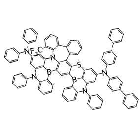 FC(F)(F)c1cccc2c1N1c3cc(N(c4ccccc4)c4ccccc4)cc4c3B(c3ccccc3N4c3ccccc3)c3cc4c(c(c31)-c1ccccc1-2)Sc1cc(N(c2ccc(-c3ccccc3)cc2)c2ccc(-c3ccccc3)cc2)cc2c1B4c1ccccc1N2c1ccccc1